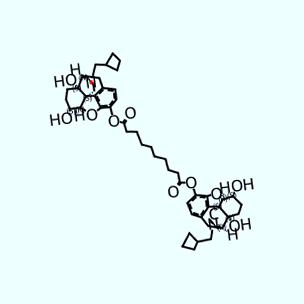 O=C(CCCCCCCCC(=O)Oc1ccc2c3c1O[C@H]1[C@@H](O)CC[C@@]4(O)[C@@H](C2)N(CC2CCC2)CC[C@]314)Oc1ccc2c3c1O[C@H]1[C@@H](O)CC[C@@]4(O)[C@@H](C2)N(CC2CCC2)CC[C@]314